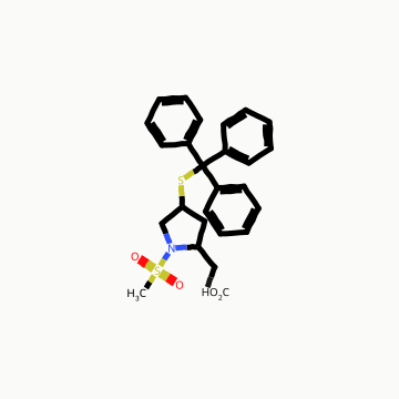 CS(=O)(=O)N1CC(SC(c2ccccc2)(c2ccccc2)c2ccccc2)CC1CC(=O)O